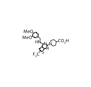 COc1ccc(CNc2nc(N3CCC(C(=O)O)CC3)nc3sc(C(F)(F)F)cc23)cc1OC